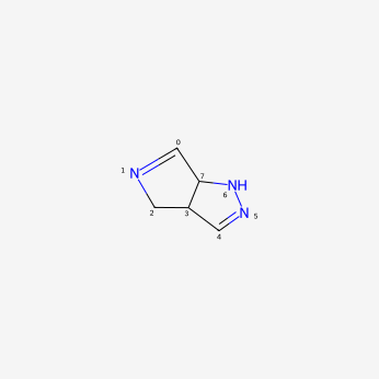 C1=NCC2C=NNC12